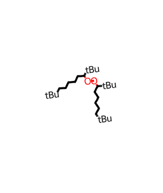 CC(C)(C)CCCCCC(OOC(CCCCCC(C)(C)C)C(C)(C)C)C(C)(C)C